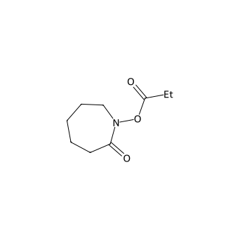 CCC(=O)ON1CCCCCC1=O